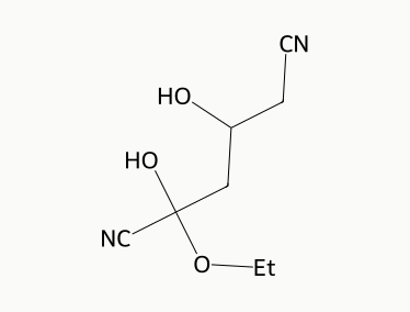 CCOC(O)(C#N)CC(O)CC#N